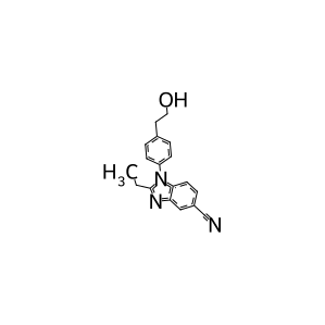 CCc1nc2cc(C#N)ccc2n1-c1ccc(CCO)cc1